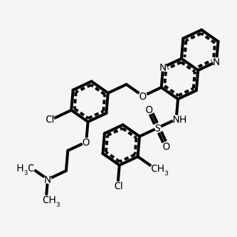 Cc1c(Cl)cccc1S(=O)(=O)Nc1cc2ncccc2nc1OCc1ccc(Cl)c(OCCN(C)C)c1